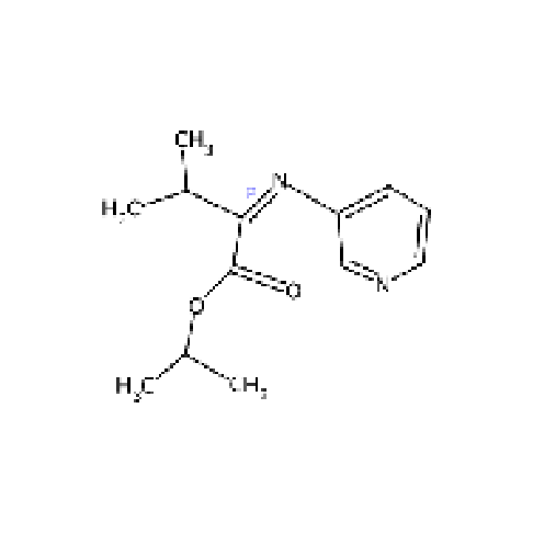 CC(C)OC(=O)/C(=N\c1cccnc1)C(C)C